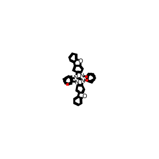 c1ccc(N2c3cc4oc5ccccc5c4cc3N(c3ccccc3)C23N(c2ccccc2)c2cc4oc5ccccc5c4cc2N3c2ccccc2)cc1